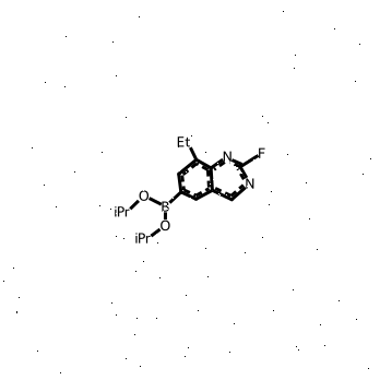 CCc1cc(B(OC(C)C)OC(C)C)cc2cnc(F)nc12